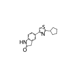 O=C1Cc2cc(-c3csc(C4CCCC4)n3)ccc2N1